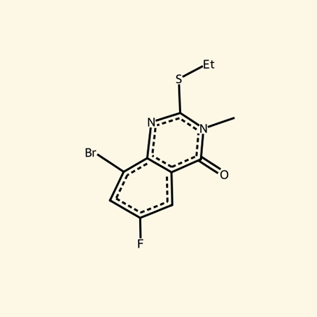 CCSc1nc2c(Br)cc(F)cc2c(=O)n1C